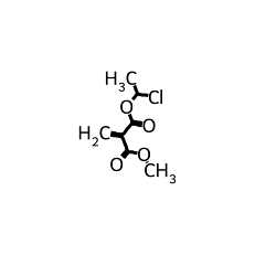 C=C(C(=O)OC)C(=O)OC(C)Cl